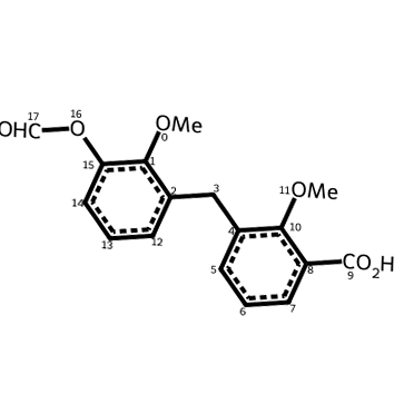 COc1c(Cc2cccc(C(=O)O)c2OC)cccc1OC=O